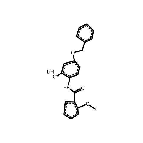 COc1ccccc1C(=O)Pc1ccc(OCc2ccccc2)cc1Cl.[LiH]